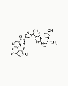 CC(c1cnc(N2CC[C@H]2[C@@H](C)N2CC[C@H](O)C2)nc1)n1cc(NC(=O)c2cncc(-c3c(C(F)F)ccc(Cl)c3F)n2)cn1